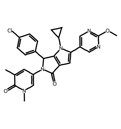 COc1ncc(-c2cc3c(n2C2CC2)C(c2ccc(Cl)cc2)N(c2cc(C)c(=O)n(C)c2)C3=O)cn1